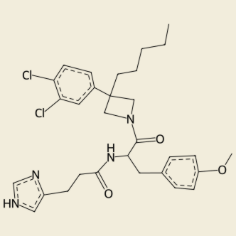 CCCCCC1(c2ccc(Cl)c(Cl)c2)CN(C(=O)C(Cc2ccc(OC)cc2)NC(=O)CCc2c[nH]cn2)C1